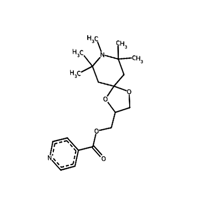 CN1C(C)(C)CC2(CC1(C)C)OCC(COC(=O)c1ccncc1)O2